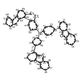 CCc1cc(N(c2ccc(-c3cccc4c3oc3ccccc34)cc2)c2ccc(-c3cccc4c3sc3ccccc34)cc2)ccc1-c1c(CC)ccc2c1sc1ccccc12